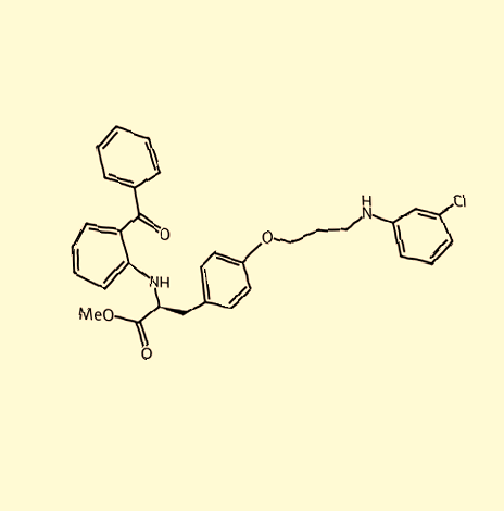 COC(=O)[C@H](Cc1ccc(OCCCNc2cccc(Cl)c2)cc1)Nc1ccccc1C(=O)c1ccccc1